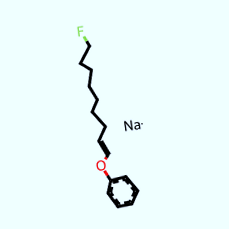 FCCCCCCCC=COc1ccccc1.[Na]